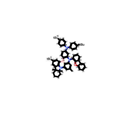 Cc1cc2c3c(c1)N1c4c(cc(C(C)(C)C)cc4C4(C)CCCCC14C)B3c1ccc(N(c3ccc(C(C)(C)C)cc3)c3ccc(C(C)(C)C)cc3)cc1N2c1cccc2c1oc1ccccc12